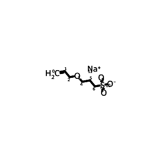 C=CCOCCCS(=O)(=O)[O-].[Na+]